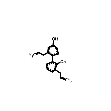 C=CCc1cc(O)ccc1-c1cccc(CC=C)c1O